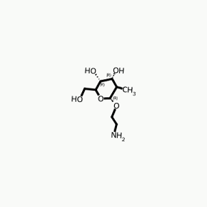 CC1[C@H](OCCN)OC(CO)[C@H](O)[C@@H]1O